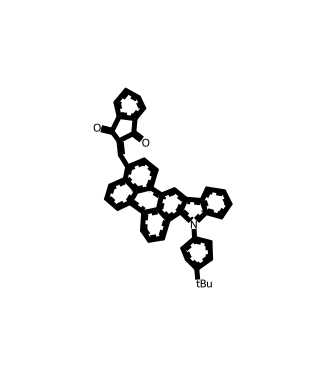 CC(C)(C)c1ccc(-n2c3ccccc3c3cc4c5ccc(C=C6C(=O)c7ccccc7C6=O)c6cccc(c7cccc(c74)c32)c65)cc1